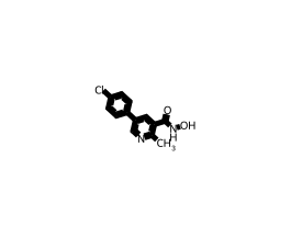 Cc1ncc(-c2ccc(Cl)cc2)cc1C(=O)NO